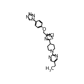 CCc1cnc(N2CCC(c3nc(COc4ccc(-n5cnnn5)cc4)cs3)CC2)nc1.Cl